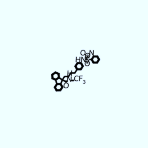 O=C(NCC(F)(F)F)C1(CCCCc2ccc(NS(=O)(=O)c3ccccc3[N+](=O)[O-])cc2)c2ccccc2-c2ccccc21